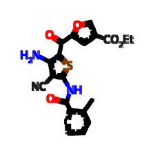 CCOC(=O)c1coc(C(=O)c2sc(NC(=O)c3ccccc3C)c(C#N)c2N)c1